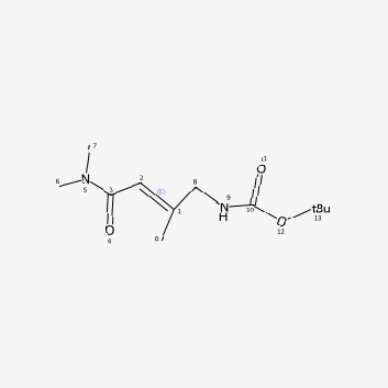 C/C(=C\C(=O)N(C)C)CNC(=O)OC(C)(C)C